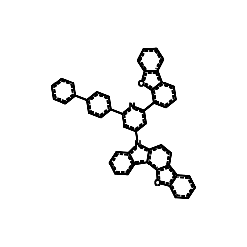 c1ccc(-c2ccc(-c3cc(-n4c5ccccc5c5c6oc7ccccc7c6ccc54)cc(-c4cccc5c4oc4ccccc45)n3)cc2)cc1